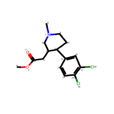 COC(=O)CC1CN(C)CCC1c1ccc(Cl)c(Cl)c1